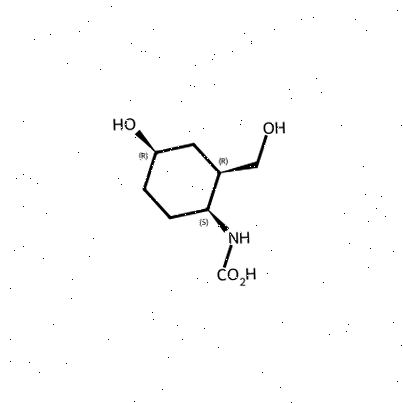 O=C(O)N[C@H]1CC[C@@H](O)C[C@H]1CO